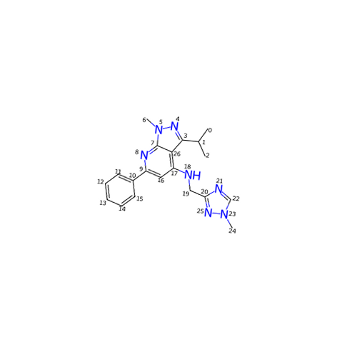 CC(C)c1nn(C)c2nc(-c3ccccc3)cc(NCc3ncn(C)n3)c12